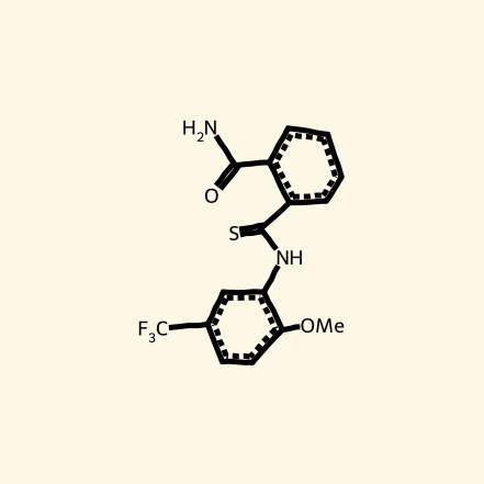 COc1ccc(C(F)(F)F)cc1NC(=S)c1ccccc1C(N)=O